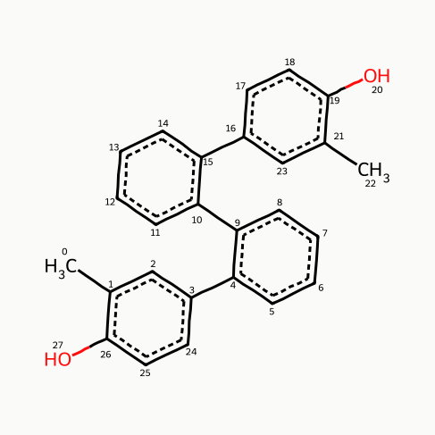 Cc1cc(-c2ccccc2-c2ccccc2-c2ccc(O)c(C)c2)ccc1O